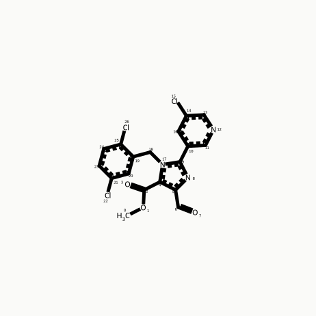 COC(=O)c1c(C=O)nc(-c2cncc(Cl)c2)n1Cc1cc(Cl)ccc1Cl